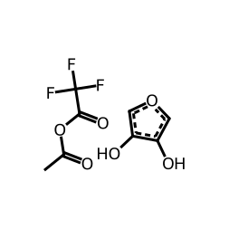 CC(=O)OC(=O)C(F)(F)F.Oc1cocc1O